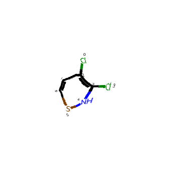 ClC1=C(Cl)NSC=C1